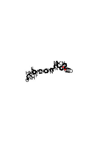 N#Cc1cnn2cc(-c3cnn(C4CCC(N5CCN(c6cc(F)c(NC7CCC(=O)NC7=O)cc6F)CC5)CC4)c3)nc(-c3ccc(N4CC5COCC(C4)N5Cc4ccccn4)nc3)c12